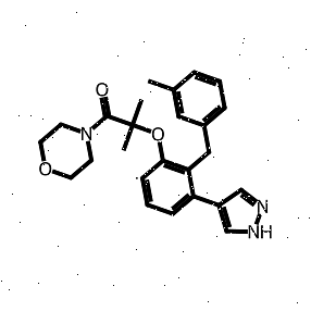 Cc1cccc(Cc2c(OC(C)(C)C(=O)N3CCOCC3)[c]ccc2-c2cn[nH]c2)c1